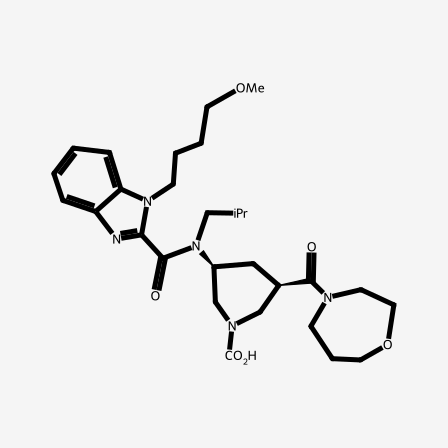 COCCCCn1c(C(=O)N(CC(C)C)[C@H]2C[C@@H](C(=O)N3CCCOCC3)CN(C(=O)O)C2)nc2ccccc21